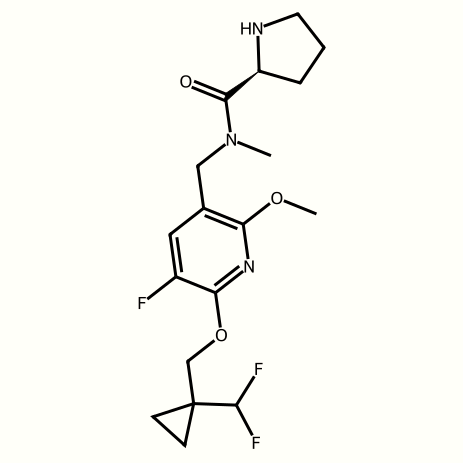 COc1nc(OCC2(C(F)F)CC2)c(F)cc1CN(C)C(=O)[C@@H]1CCCN1